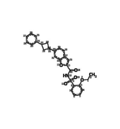 CCOc1ccccc1S(=O)(=O)NC(=O)c1cc2ccc(N3CC(c4ccccc4)C3)cc2o1